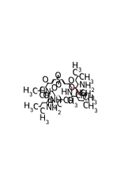 CC(C)C[C@H](NC(=O)[C@H](CC(C)C)NC(=O)[C@@H](N)CC(C)C)C(=O)C=CS(=O)(=O)C=CC(=O)[C@H](CC(C)C)NC(=O)[C@H](CC(C)C)NC(=O)[C@@H](N)CC(C)C